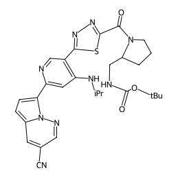 CC(C)Nc1cc(-c2ccc3cc(C#N)cnn23)ncc1-c1nnc(C(=O)N2CCCC2CNC(=O)OC(C)(C)C)s1